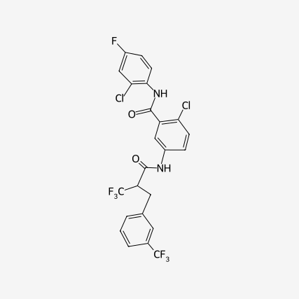 O=C(Nc1ccc(F)cc1Cl)c1cc(NC(=O)C(Cc2cccc(C(F)(F)F)c2)C(F)(F)F)ccc1Cl